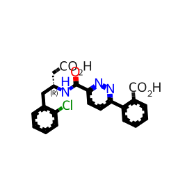 O=C(O)C[C@@H](Cc1ccccc1Cl)NC(=O)c1ccc(-c2ccccc2C(=O)O)nn1